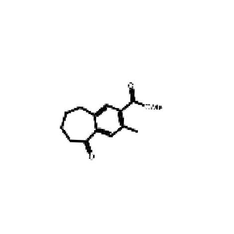 COC(=O)c1cc2c(cc1C)C(=O)CCCC2